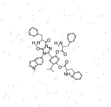 CC(C)c1cc(-c2nn(C(=O)C(N)Cc3ccccc3)c(=O)n2-c2ccc3c(ccn3C)c2)c(OC(=O)C(N)Cc2ccccc2)cc1OC(=O)C(N)Cc1ccccc1